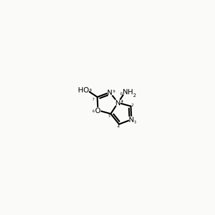 N[N+]12C=NC=C1OC(O)=N2